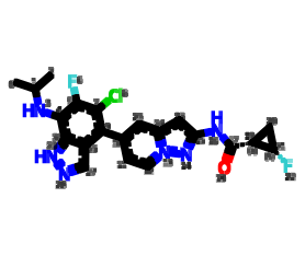 CC(C)Nc1c(F)c(Cl)c(-c2ccn3nc(NC(=O)[C@@H]4C[C@@H]4F)cc3c2)c2cn[nH]c12